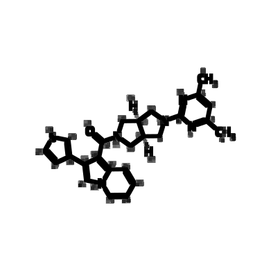 Cc1cc(C)nc(N2C[C@H]3CN(C(=O)c4c(-c5ccsc5)cn5ccccc45)C[C@H]3C2)n1